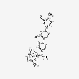 CN(c1ccc(-c2ccc(-c3cnn(C)c(=O)c3)cc2O)nn1)[C@H]1C[C@]2(C)CC[C@](C)(C1)C2